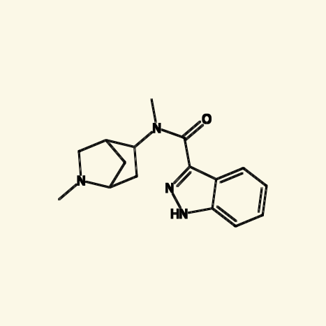 CN1CC2CC1CC2N(C)C(=O)c1n[nH]c2ccccc12